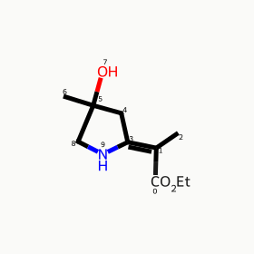 CCOC(=O)/C(C)=C1/CC(C)(O)CN1